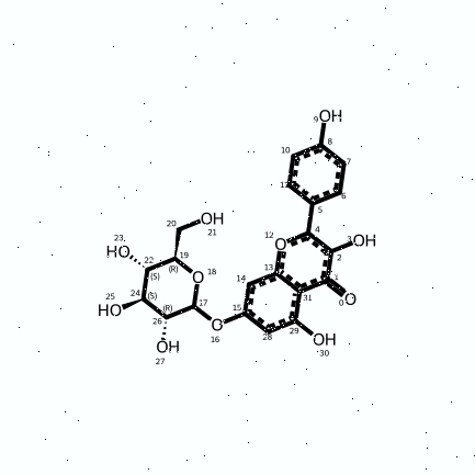 O=c1c(O)c(-c2ccc(O)cc2)oc2cc(OC3O[C@H](CO)[C@@H](O)[C@H](O)[C@H]3O)cc(O)c12